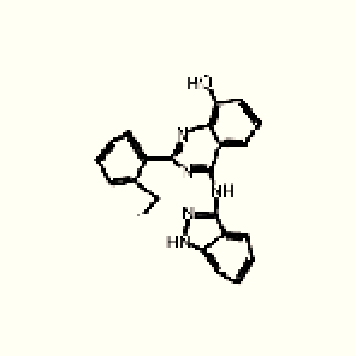 Oc1cccc2c(Nc3n[nH]c4ccccc34)nc(-c3ccccc3CF)nc12